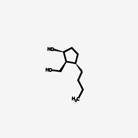 CCCC[C@H]1CC[C@@H](O)[C@@H]1CO